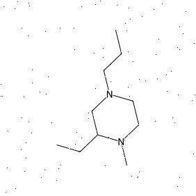 CCCN1CCN(C)C(CC)C1